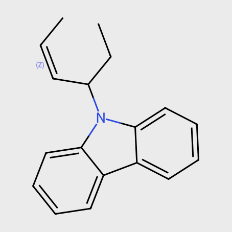 C/C=C\C(CC)n1c2ccccc2c2ccccc21